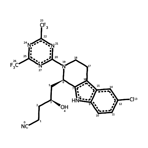 N#CCC[C@H](O)C[C@@H]1c2[nH]c3ccc(Cl)cc3c2CCN1c1nc(C(F)(F)F)nc(C(F)(F)F)n1